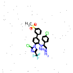 CS(=O)(=O)c1cccc(-c2ccc(-n3cc(C(F)(F)F)nc3Cl)c(N(N)/C(=C\N)c3ccc(Cl)cc3)c2)c1